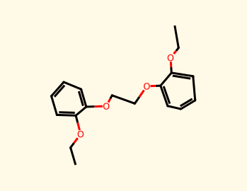 CCOc1ccccc1OCCOc1ccccc1OCC